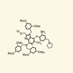 CCOCc1nc2c(N(Cc3ccc(OC)cc3OC)Cc3ccc(OC)cc3OC)nc(C)c(Sc3ccc(CN4CCCC4)cc3N)c2n1Cc1ccc(OC)cc1OC